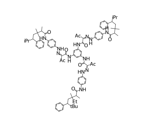 CCC(C)(CC(c1ccccc1)C(C)(C)C)C(C)C(=O)Nc1ccc(N/N=C(/C(C)=O)C(=O)Nc2cc(NC(=O)/C(=N\Nc3ccc(NC(=O)C(C)C(C)(C)CC(c4ccccc4)C(C)C)cc3)C(C)=O)cc(NC(=O)/C(=N\Nc3ccc(NC(=O)C(C)C(C)(C)CC(c4ccccc4)C(C)C)cc3)C(C)=O)c2)cc1